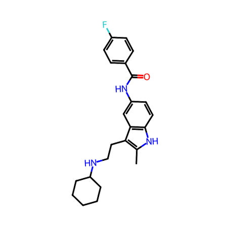 Cc1[nH]c2ccc(NC(=O)c3ccc(F)cc3)cc2c1CCNC1CCCCC1